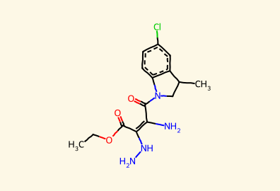 CCOC(=O)/C(NN)=C(/N)C(=O)N1CC(C)c2cc(Cl)ccc21